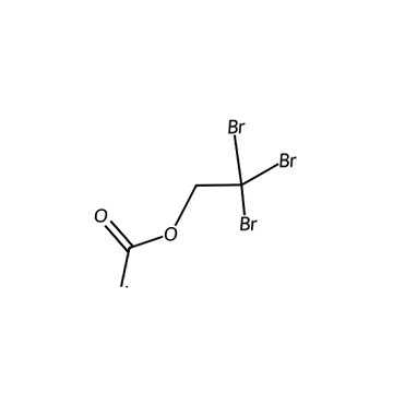 [CH2]C(=O)OCC(Br)(Br)Br